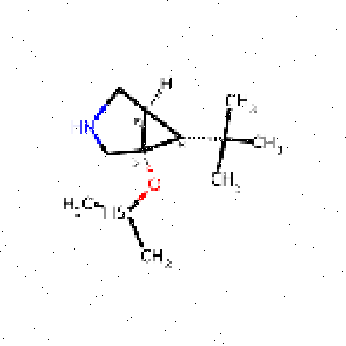 C[SiH](C)O[C@]12CNC[C@H]1[C@@H]2C(C)(C)C